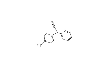 CN1CCN(C(C#N)c2cccnc2)CC1